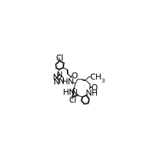 CC/C1=C/C[C@H](NC(=O)/C=C/c2cc(Cl)ccc2-n2cnnn2)c2nc(c(Cl)[nH]2)-c2ccccc2NC(=O)C1